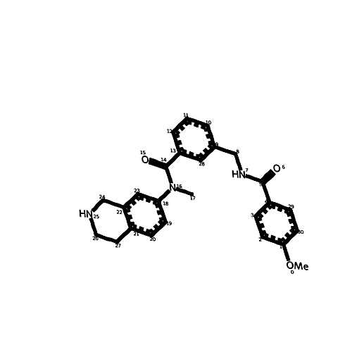 COc1ccc(C(=O)NCc2cccc(C(=O)N(C)c3ccc4c(c3)CNCC4)c2)cc1